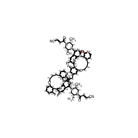 CC(C)c1nccc2c1-n1c(=O)nc(N3C[C@@H](C)N(C(=O)/C=C/C#N)C[C@@H]3C)c3cc(F)c(nc31)-c1c(F)cc(CC(C)c3nccc4c3-n3c(=O)nc(N5C[C@@H](C)N(C(=O)/C=C/C#N)C[C@@H]5C)c5cc(F)c(nc53)-c3c(F)cccc3OCCC4)cc1OCCC2